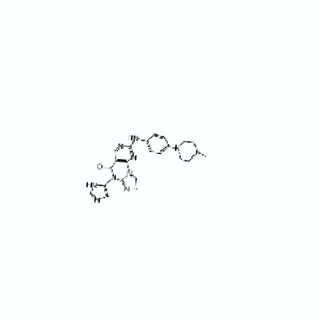 CN1CCN(c2ccc(Nc3ncc4c(n3)N3CCN=C3N(c3cnc[nH]3)C4=O)cc2)CC1